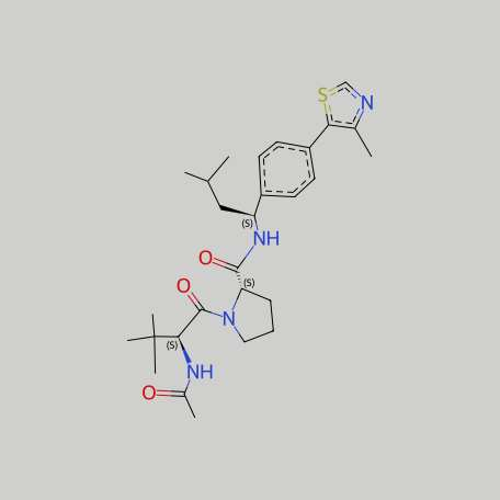 CC(=O)N[C@H](C(=O)N1CCC[C@H]1C(=O)N[C@@H](CC(C)C)c1ccc(-c2scnc2C)cc1)C(C)(C)C